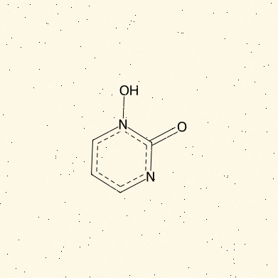 O=c1ncccn1O